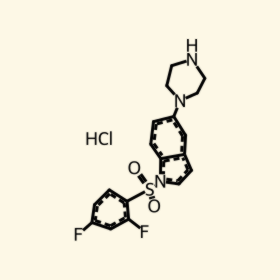 Cl.O=S(=O)(c1ccc(F)cc1F)n1ccc2cc(N3CCNCC3)ccc21